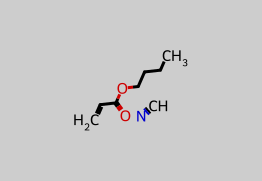 C#N.C=CC(=O)OCCCC